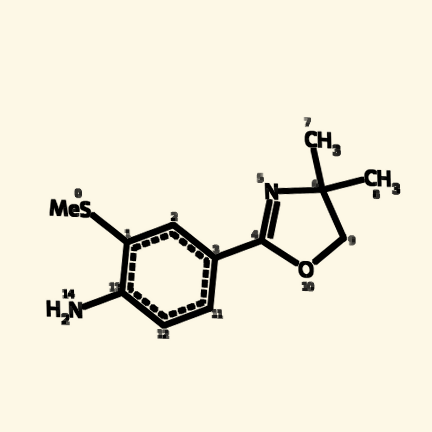 CSc1cc(C2=NC(C)(C)CO2)ccc1N